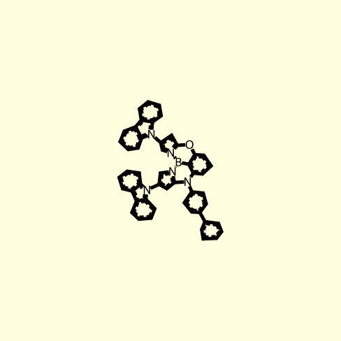 c1ccc(-c2ccc(N3c4cccc5c4B(n4cc(-n6c7ccccc7c7ccccc76)cc4O5)n4cc(-n5c6ccccc6c6ccccc65)cc43)cc2)cc1